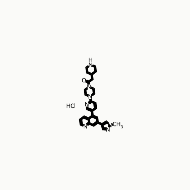 Cl.Cn1cc(-c2cc(-c3ccc(N4CCN(C(=O)CC5CCNCC5)CC4)nc3)c3cccnc3c2)cn1